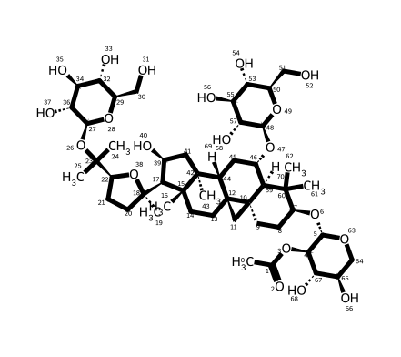 CC(=O)O[C@H]1[C@H](O[C@H]2CC[C@]34C[C@]35CC[C@]3(C)[C@@H]([C@@]6(C)CC[C@@H](C(C)(C)O[C@@H]7O[C@H](CO)[C@@H](O)[C@H](O)[C@H]7O)O6)[C@@H](O)C[C@@]3(C)[C@@H]5C[C@H](O[C@@H]3O[C@H](CO)[C@@H](O)[C@H](O)[C@H]3O)[C@H]4C2(C)C)OC[C@@H](O)[C@@H]1O